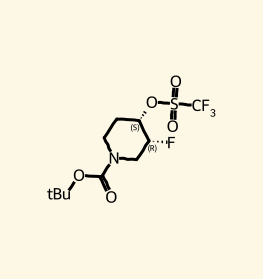 CC(C)(C)OC(=O)N1CC[C@H](OS(=O)(=O)C(F)(F)F)[C@H](F)C1